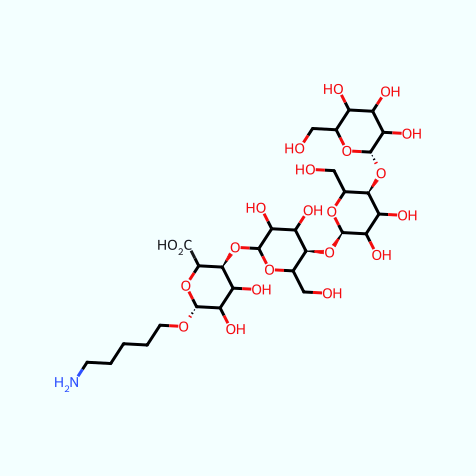 NCCCCCO[C@@H]1OC(C(=O)O)[C@@H](OC2OC(CO)[C@H](O[C@H]3OC(CO)[C@@H](O[C@@H]4OC(CO)C(O)C(O)C4O)C(O)C3O)C(O)C2O)C(O)C1O